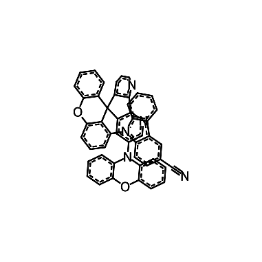 N#Cc1ccc2c(c1)c1ccccc1n2-c1cccc2c1C1(c3ccccc3O2)c2cccnc2-c2ncc(N3c4ccccc4Oc4ccccc43)cc21